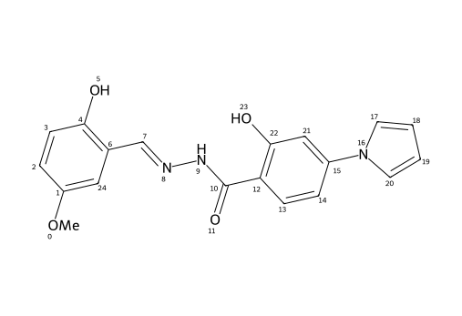 COc1ccc(O)c(C=NNC(=O)c2ccc(-n3cccc3)cc2O)c1